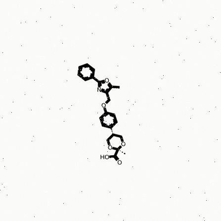 Cc1oc(-c2ccccc2)nc1COc1ccc([C@H]2CO[C@](C)(C(=O)O)OC2)cc1